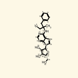 [2H]CC(C)(Cc1ccccc1)Nc1ncnc2c1ncn2C1O[C@H](CO)[C@@H](O)[C@H]1O